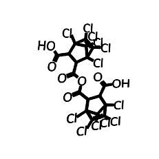 O=C(O)C1C(C(=O)OC(=O)C2C(C(=O)O)C3(Cl)C(Cl)=C(Cl)C2(Cl)C3(Cl)Cl)C2(Cl)C(Cl)=C(Cl)C1(Cl)C2(Cl)Cl